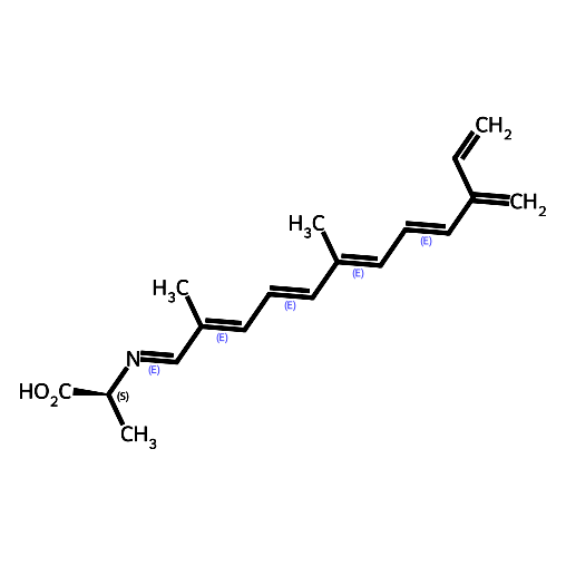 C=CC(=C)/C=C/C=C(C)/C=C/C=C(C)/C=N/[C@@H](C)C(=O)O